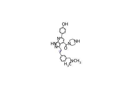 CN(C)Cc1cccc(/C=C/c2n[nH]c3nc(-c4ccc(O)cc4)cc(C(=O)N4CCNCC4)c23)c1